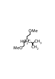 C=C(C)C(=O)O.COCCOCCOC